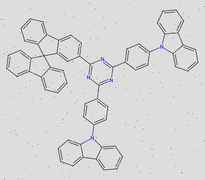 c1ccc2c(c1)-c1ccccc1C21c2ccccc2-c2ccc(-c3nc(-c4ccc(-n5c6ccccc6c6ccccc65)cc4)nc(-c4ccc(-n5c6ccccc6c6ccccc65)cc4)n3)cc21